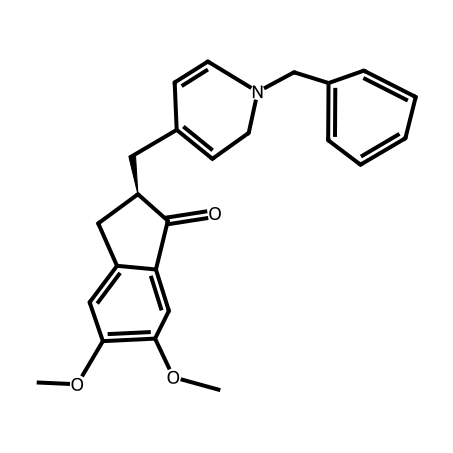 COc1cc2c(cc1OC)C(=O)[C@H](CC1=CCN(Cc3ccccc3)C=C1)C2